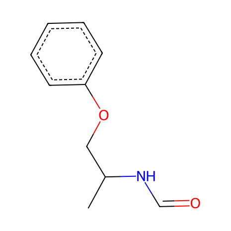 CC(COc1ccccc1)NC=O